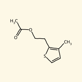 CC(=O)OCCc1sccc1C